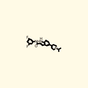 CC(C)N1CC=C(c2ccc3[nH]c(C(=O)Nc4cc(F)cc(F)c4)cc3c2)CC1